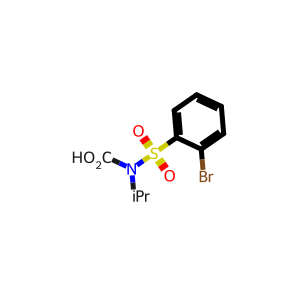 CC(C)N(C(=O)O)S(=O)(=O)c1ccccc1Br